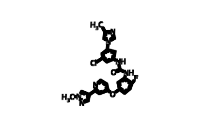 Cc1cn(-c2cc(Cl)cc(NC(=O)Nc3cc(Oc4ccnc(-c5cnn(C)c5)c4)ccc3F)c2)cn1